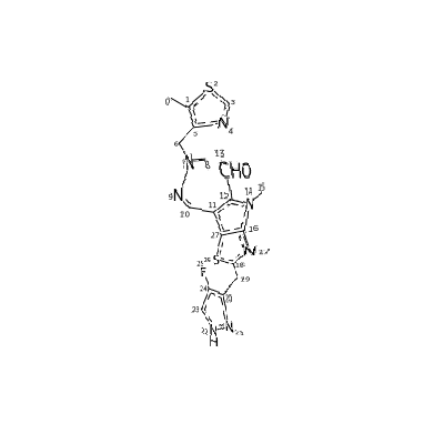 Cc1scnc1CN(C)/N=C\c1c(C=O)n(C)c2nc(Cc3n[nH]cc3F)sc12